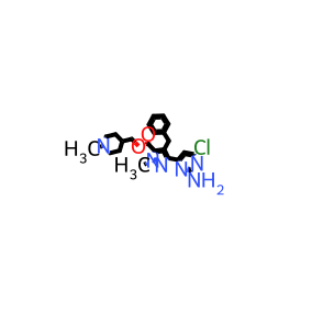 CN1CCC(COC(=O)c2c(Cc3ccccc3)c(-c3cc(Cl)nc(N)n3)nn2C)CC1